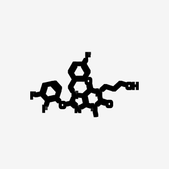 Cn1c(=O)n(CCCO)c(=O)c2c1nc(Oc1c#ccc(F)c1F)n2Cc1ccc(F)cc1